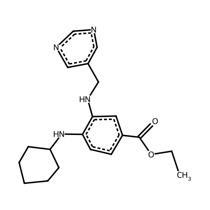 CCOC(=O)c1ccc(NC2CCCCC2)c(NCc2cncnc2)c1